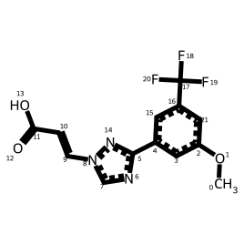 COc1cc(-c2ncn(C=CC(=O)O)n2)cc(C(F)(F)F)c1